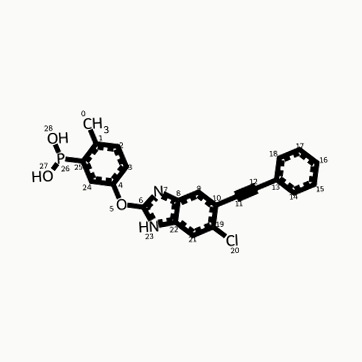 Cc1ccc(Oc2nc3cc(C#Cc4ccccc4)c(Cl)cc3[nH]2)cc1P(O)O